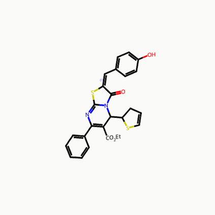 CCOC(=O)C1=C(c2ccccc2)N=c2s/c(=C/c3ccc(O)cc3)c(=O)n2C1C1CC=CS1